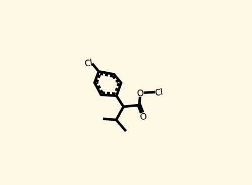 CC(C)C(C(=O)OCl)c1ccc(Cl)cc1